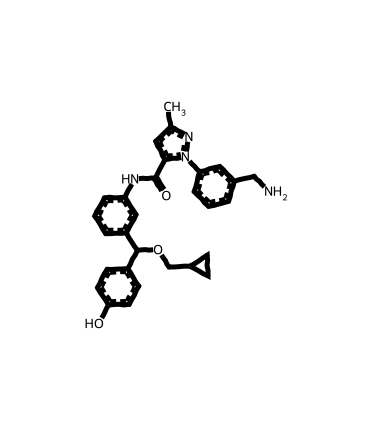 Cc1cc(C(=O)Nc2cccc(C(OCC3CC3)c3ccc(O)cc3)c2)n(-c2cccc(CN)c2)n1